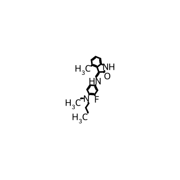 CCCCN(CC)c1ccc(NC=C2C(=O)Nc3cccc(C)c32)cc1F